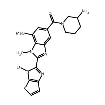 CCn1c(-c2nc3cc(C(=O)N4CCCC(N)C4)cc(OC)c3n2C)nc2ccsc21